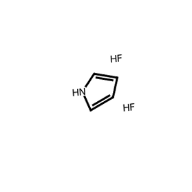 F.F.c1cc[nH]c1